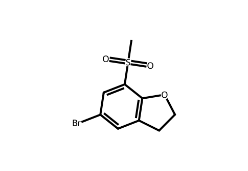 CS(=O)(=O)c1cc(Br)cc2c1OCC2